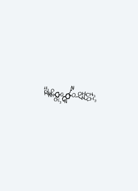 CCNC(=O)Nc1ccc(Oc2ccnc3cc(OC[C@H](O)CN(CC)CC)c(C#N)cc23)cc1C